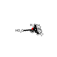 CN(C)c1ccc2c(c1)C(C)(C)c1cc(N(C)C)ccc1C21OC(=O)c2c(C(=O)CCCCCCCCC(=O)O)cccc21